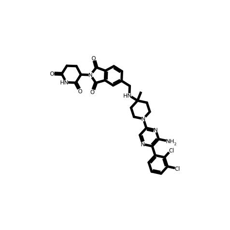 CC1(NCc2ccc3c(c2)C(=O)N(C2CCC(=O)NC2=O)C3=O)CCN(c2cnc(-c3cccc(Cl)c3Cl)c(N)n2)CC1